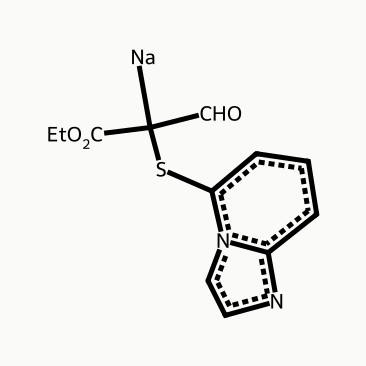 CCOC(=O)[C]([Na])(C=O)Sc1cccc2nccn12